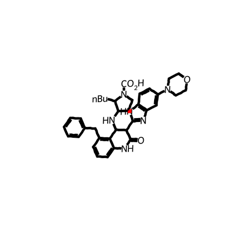 CCCCC1C(NC2c3c(Cc4ccccc4)cccc3NC(=O)C2c2nc3cc(N4CCOCC4)ccc3[nH]2)CCN1C(=O)O